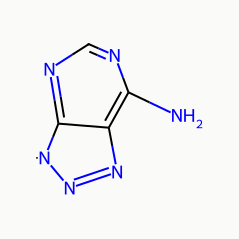 Nc1ncnc2c1N=N[N]2